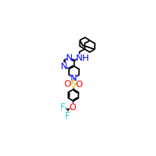 O=S(=O)(c1ccc(OC(F)F)cc1)N1CCc2c(ncnc2NCC23CC4CC(CC(C4)C2)C3)C1